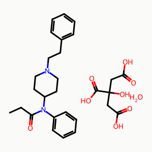 CCC(=O)N(c1ccccc1)C1CCN(CCc2ccccc2)CC1.O.O=C(O)CC(O)(CC(=O)O)C(=O)O